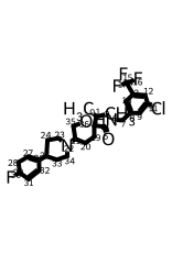 CC(C)C1(C(=O)NCc2cc(Cl)cc(C(F)(F)F)c2)CCC(N2CCC(C3=CCC(F)C=C3)CC2)CO1